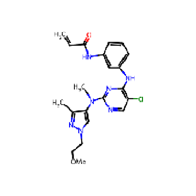 C=CC(=O)Nc1cccc(Nc2nc(N(C)c3cn(CCOC)nc3C)ncc2Cl)c1